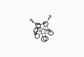 N#Cc1cc(C#N)c(C2(c3c(C#N)cc(C#N)cc3C#N)NC(c3ccccc3)(c3ccccc3)C(c3ccccc3)(c3ccccc3)N2c2ncc[nH]2)c(C#N)c1